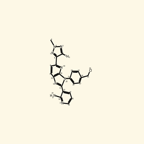 [2H]c1nn(C)nc1-c1ccc2nc(-c3cccnc3N)n(-c3ccc(CCl)cc3)c2n1